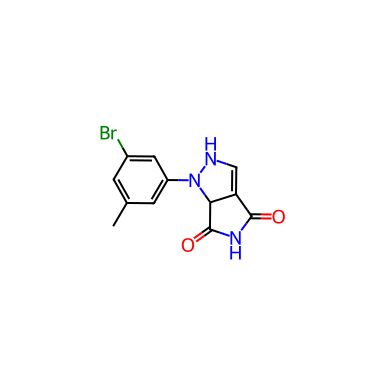 Cc1cc(Br)cc(N2NC=C3C(=O)NC(=O)C32)c1